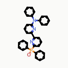 O=P(c1ccccc1)(c1ccccc1)c1cccc(-c2cccc(N(c3ccccc3)c3ccccc3)n2)n1